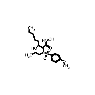 CCCCCC(O)C(C(=O)NO)N(CCC)S(=O)(=O)c1ccc(OC)cc1